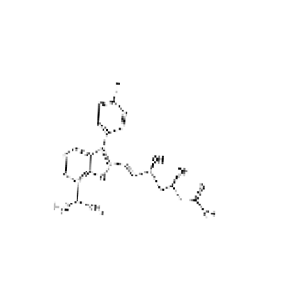 CC(C)c1cccc2c(-c3ccc(F)cc3)c(C=C[C@@H](O)C[C@@H](O)CC(=O)O)oc12